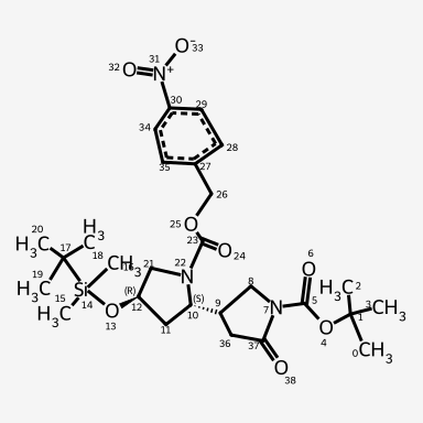 CC(C)(C)OC(=O)N1CC([C@@H]2C[C@@H](O[Si](C)(C)C(C)(C)C)CN2C(=O)OCc2ccc([N+](=O)[O-])cc2)CC1=O